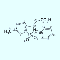 Cc1ccc2c(c1)S(=O)(=O)N(c1ccccc1)C2CC(=O)O